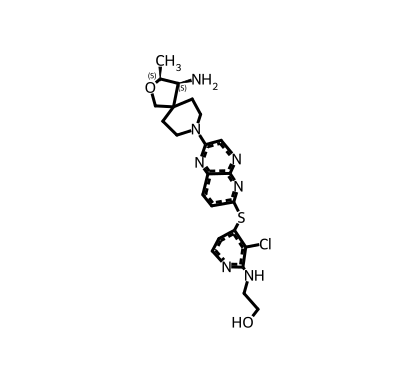 C[C@@H]1OCC2(CCN(c3cnc4nc(Sc5ccnc(NCCO)c5Cl)ccc4n3)CC2)[C@@H]1N